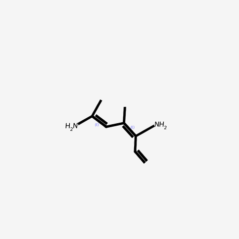 C=C/C(N)=C(C)\C=C(/C)N